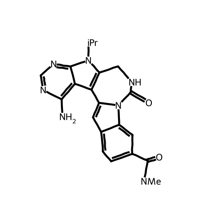 CNC(=O)c1ccc2cc3n(c2c1)C(=O)NCc1c-3c2c(N)ncnc2n1C(C)C